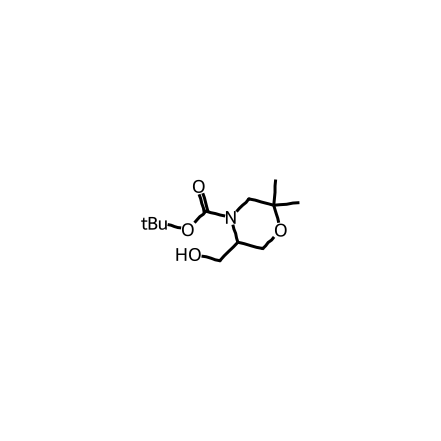 CC(C)(C)OC(=O)N1CC(C)(C)OCC1CO